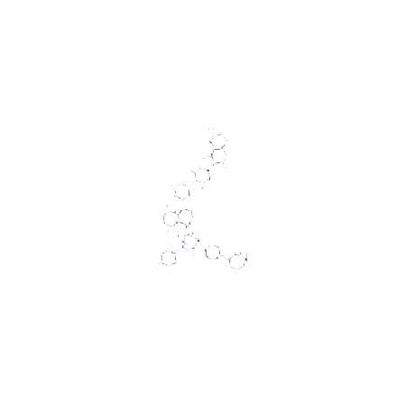 CC1(C)c2cc(-c3cccc(-c4ccc(-c5nc(-c6ccccc6)cc(-c6ccc(-c7cccnc7)cc6)n5)c5ccccc45)c3)ccc2-c2ccc3ccccc3c21